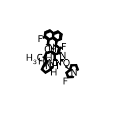 C#Cc1c(F)ccc2cccc(-c3nc4c5c(nc(OC[C@@]67CCCN6C[C@H](F)C7)nc5c3F)N3C[C@H]5CC[C@H](N5)[C@H]3[C@@H](C)C4)c12